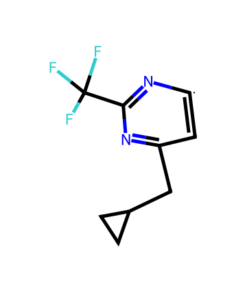 FC(F)(F)c1n[c]cc(CC2CC2)n1